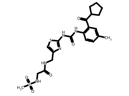 Cc1ccc(NC(=O)Nc2nc(CNC(=O)CNS(C)(=O)=O)cs2)c(C(=O)C2CCCC2)c1